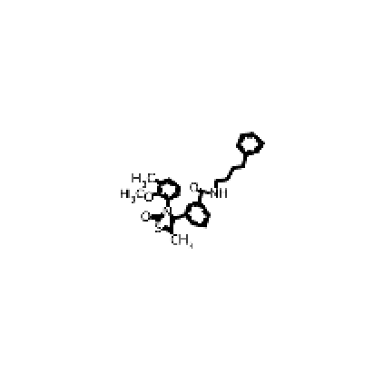 COc1c(C)cccc1-n1c(-c2cccc(C(=O)NCCCCc3ccccc3)c2)c(C)sc1=O